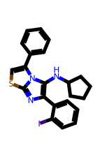 Ic1ccccc1-c1nc2scc(-c3ccccc3)n2c1NC1CCCC1